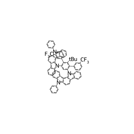 CC(C)(C)c1c(-c2cccc(C(F)(F)F)c2)c(-n2c3ccccc3c3ccc4c(c5ccccc5n4-c4ccccc4)c32)cc(-n2c3ccccc3c3ccc4c(c5ccccc5n4-c4ccccc4)c32)c1-c1cccc(C(F)(F)F)c1